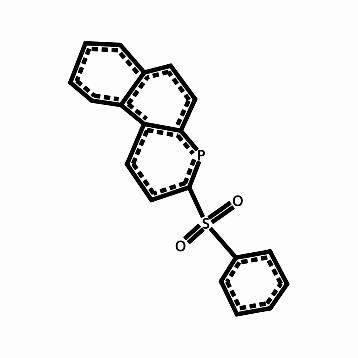 O=S(=O)(c1ccccc1)c1ccc2c(ccc3ccccc32)p1